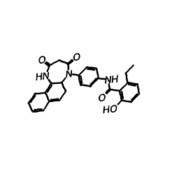 CCc1cccc(O)c1C(=O)Nc1ccc(N2C(=O)CC(=O)NC3=c4ccccc4=CCC32)cc1